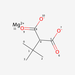 CC(C)(C)C(C(=O)[O-])C(=O)[O-].[Mg+2]